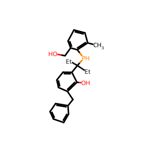 CCC(CC)(Pc1c(C)cccc1CO)c1cccc(Cc2ccccc2)c1O